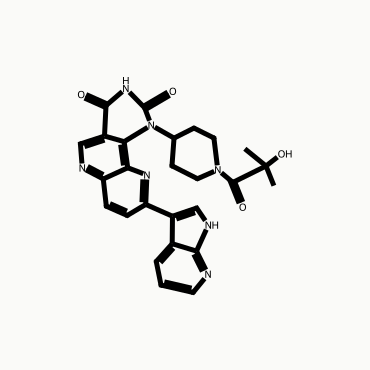 CC(C)(O)C(=O)N1CCC(n2c(=O)[nH]c(=O)c3cnc4ccc(-c5c[nH]c6ncccc56)nc4c32)CC1